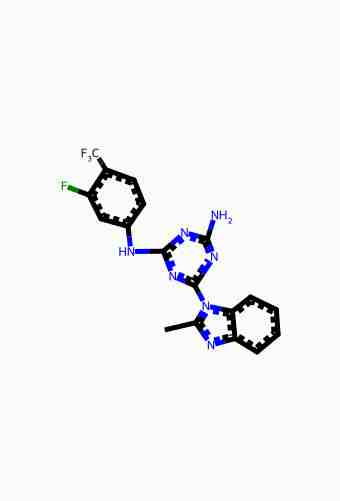 Cc1nc2ccccc2n1-c1nc(N)nc(Nc2ccc(C(F)(F)F)c(F)c2)n1